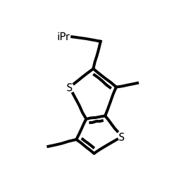 Cc1csc2c(C)c(CC(C)C)sc12